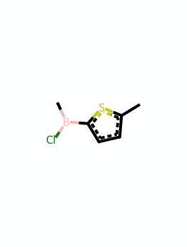 CB(Cl)c1ccc(C)s1